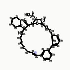 O=C(O)[C@@H]1C[C@@H]2CN1C(=O)[C@H](C1CCCCC1)NCCCC/C=C/c1cccc(c1)-c1cccc(c1)CO2